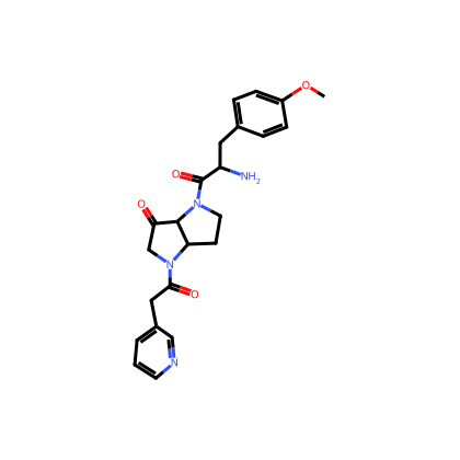 COc1ccc(CC(N)C(=O)N2CCC3C2C(=O)CN3C(=O)Cc2cccnc2)cc1